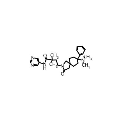 CN(C)C1(c2ccccc2)CCC2(CC1)CC(=O)N(CCC(C)(C)C(=O)Nc1cncnc1)C2